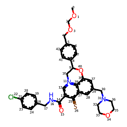 COCOCc1ccc(C2Cn3cc(C(=O)NCc4ccc(Cl)cc4)c(=S)c4cc(CN5CCOCC5)cc(c43)O2)cc1